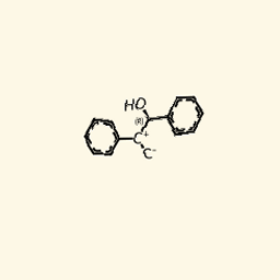 [CH2-][C+](c1ccccc1)[C@@H](O)c1ccccc1